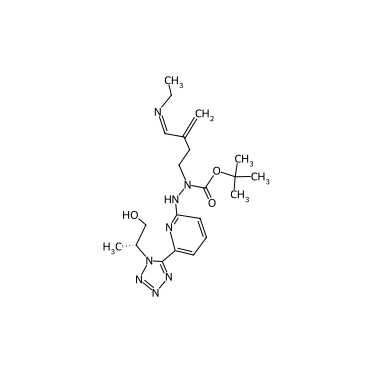 C=C(/C=N\CC)CCN(Nc1cccc(-c2nnnn2[C@H](C)CO)n1)C(=O)OC(C)(C)C